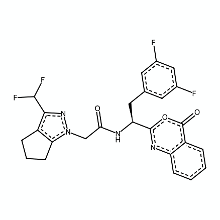 O=C(Cn1nc(C(F)F)c2c1CCC2)N[C@@H](Cc1cc(F)cc(F)c1)c1nc2ccccc2c(=O)o1